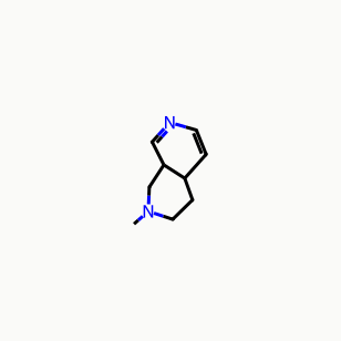 CN1CCC2C=CN=CC2C1